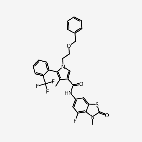 Cc1c(C(=O)Nc2cc(F)c3c(c2)sc(=O)n3C)cn(CCOCc2ccccc2)c1-c1ccccc1C(F)(F)F